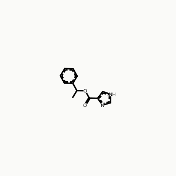 CC(OC(=O)c1c[nH]cn1)c1ccccc1